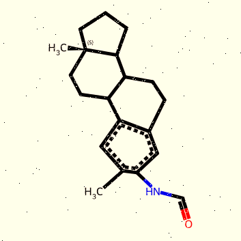 Cc1cc2c(cc1NC=O)CCC1C2CC[C@]2(C)CCCC12